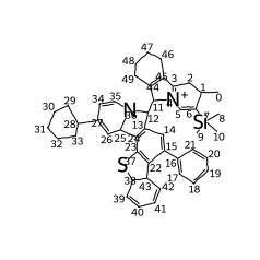 CC1CC2=[N+](C=C1[Si](C)(C)C)C(C1c3cc(-c4ccccc4)c4c(c3C3C=C(C5CCCCC5)C=CN31)SC1C=CC=CC41)C1=C2CCCC1